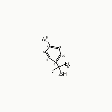 CCC(C)(S)c1ccc(C(C)=O)cc1